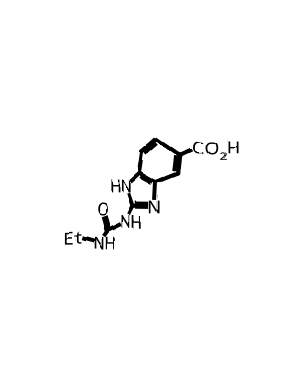 CCNC(=O)Nc1nc2cc(C(=O)O)ccc2[nH]1